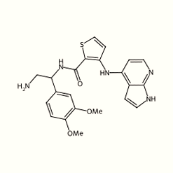 COc1ccc(C(CN)NC(=O)c2sccc2Nc2ccnc3[nH]ccc23)cc1OC